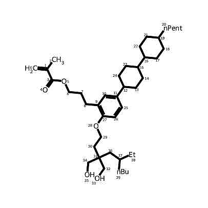 C=C(C)C(=O)OCCCc1cc(C2CCC(C3CCC(CCCCC)CC3)CC2)ccc1OCCC(CO)(CO)CC(CC)CCCC